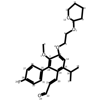 COc1c(OCCOC2CCCCO2)cc(C(C)C)c(C=CC=O)c1-c1ccc(F)cc1